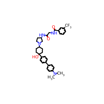 CN(C)c1ccc(-c2ccc(C3(O)CCC(N4CC[C@@H](NC(=O)CNC(=O)c5cccc(C(F)(F)F)c5)C4)CC3)cc2)cc1